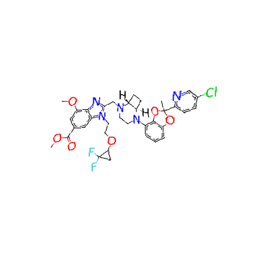 COC(=O)c1cc(OC)c2nc(CN3CCN(c4cccc5c4OC(C)(c4ccc(Cl)cn4)O5)[C@@H]4CC[C@H]43)n(CCOC3CC3(F)F)c2c1